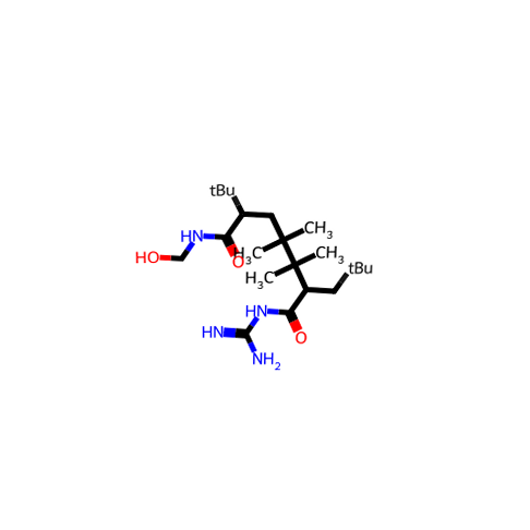 CC(C)(C)CC(C(=O)NC(=N)N)C(C)(C)C(C)(C)CC(C(=O)NCO)C(C)(C)C